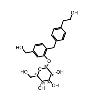 OCCc1ccc(Cc2ccc(CO)cc2O[C@H]2O[C@H](CO)[C@@H](O)[C@H](O)[C@H]2O)cc1